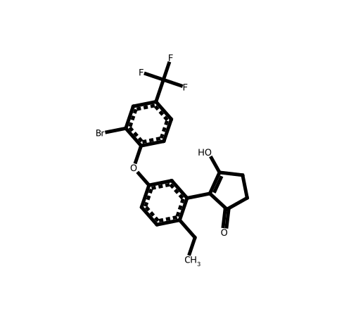 CCc1ccc(Oc2ccc(C(F)(F)F)cc2Br)cc1C1=C(O)CCC1=O